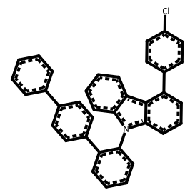 Clc1ccc(-c2cccc3c2c2ccccc2n3-c2ccccc2-c2ccc(-c3ccccc3)cc2)cc1